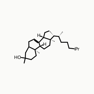 CC(C)CCC[C@@H](C)[C@H]1CC[C@H]2C3=CCC4CC(C)(O)CC[C@]4(C)[C@H]3CC[C@]12C